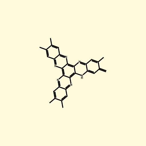 C=c1cc2c(cc1C)=Nc1c(c3nc4cc(C)c(C)cc4nc3c3nc4cc(C)c(C)cc4nc13)N2